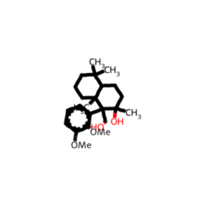 COc1cccc(C2(CO)C(C)(O)CCC3C(C)(C)CCCC32C)c1OC